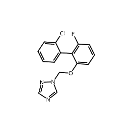 Fc1cccc(OCn2cncn2)c1-c1ccccc1Cl